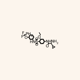 CCOc1cc(NC(=O)[C@@H](N)C2CC2)ccc1S(=O)(=O)Nc1cccc(OC(F)(F)P)c1